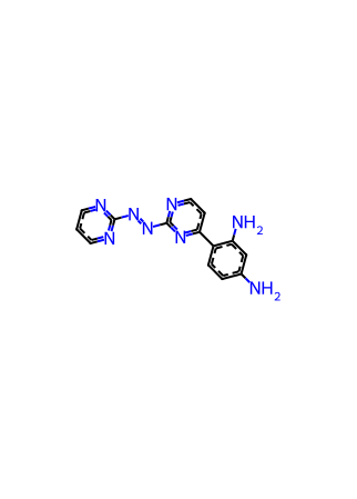 Nc1ccc(-c2ccnc(N=Nc3ncccn3)n2)c(N)c1